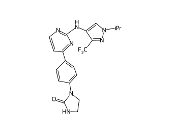 CC(C)n1cc(Nc2nccc(-c3ccc(N4CCNC4=O)cc3)n2)c(C(F)(F)F)n1